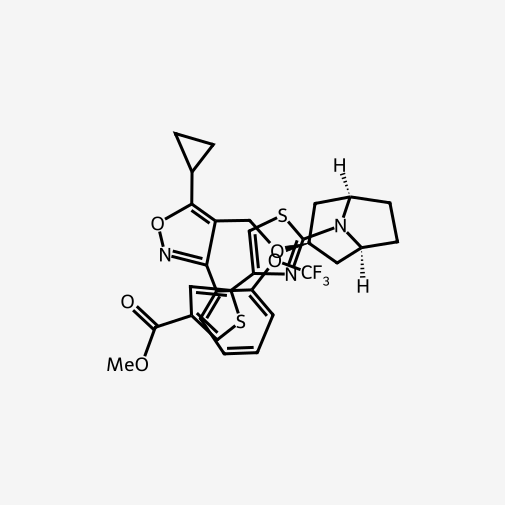 COC(=O)c1csc(-c2csc(N3[C@@H]4CC[C@H]3C[C@@H](OCc3c(-c5ccccc5OC(F)(F)F)noc3C3CC3)C4)n2)c1